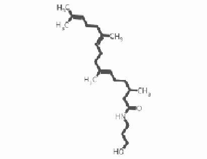 CC(C)=CCCC(C)=CCCC(C)=CCCC(C)CC(=O)NCCCO